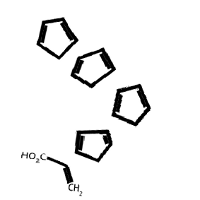 C1=CCC=C1.C1=CCC=C1.C1=CCC=C1.C1=CCC=C1.C=CC(=O)O